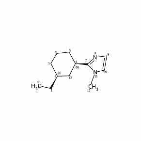 CC[C@H]1CCC[C@@H](c2nccn2C)C1